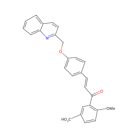 COc1ccc(C(=O)O)cc1C(=O)C=Cc1ccc(OCc2ccc3ccccc3n2)cc1